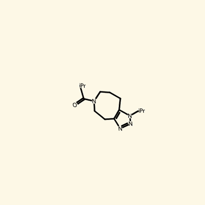 CC(C)C(=O)N1CCCc2c(nnn2C(C)C)CC1